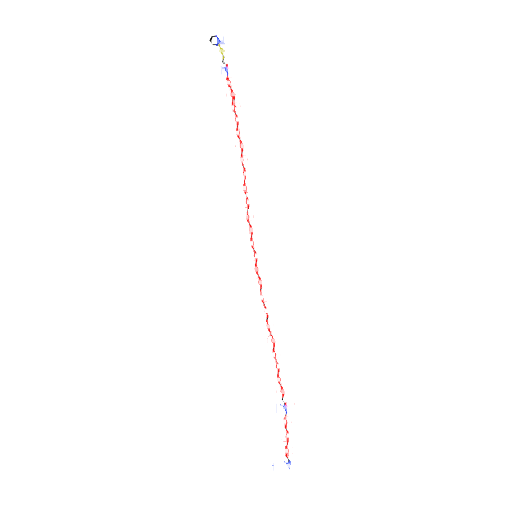 NCCOCCOCCOCCNC(=O)CCOCCOCCOCCOCCOCCOCCOCCOCCOCCOCCOCCOCCOCCOCCOCCOCCOCCOCCOCCOCCOCCOCCOCCOCCNC(=O)CCSSc1ccccn1